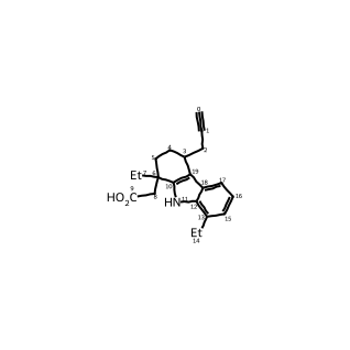 C#CCC1CCC(CC)(CC(=O)O)c2[nH]c3c(CC)cccc3c21